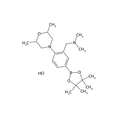 CC1CN(c2ccc(B3OC(C)(C)C(C)(C)O3)cc2CN(C)C)CC(C)O1.Cl